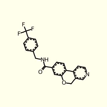 O=C(NCc1ccc(C(F)(F)F)cc1)c1ccc2c(c1)OCc1cnccc1-2